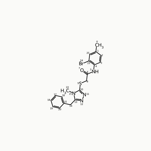 Cc1ccc(NC(=O)CSc2nnc(Cc3ccccc3)n2C)c(Br)c1